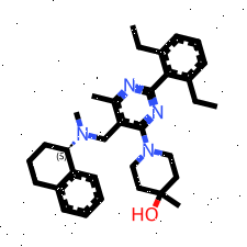 CCc1cccc(CC)c1-c1nc(C)c(CN(C)[C@H]2CCCc3ccccc32)c(N2CCC(C)(O)CC2)n1